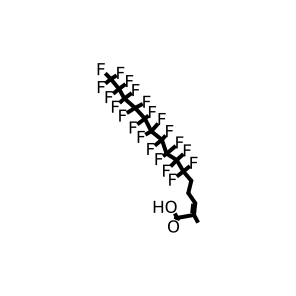 CC(=CCCC(F)(F)C(F)(F)C(F)(F)C(F)(F)C(F)(F)C(F)(F)C(F)(F)C(F)(F)C(F)(F)C(F)(F)F)C(=O)O